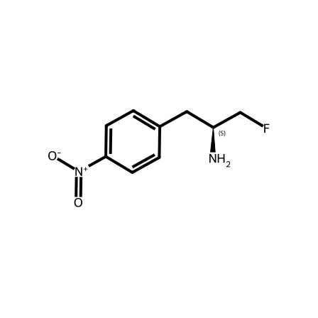 N[C@H](CF)Cc1ccc([N+](=O)[O-])cc1